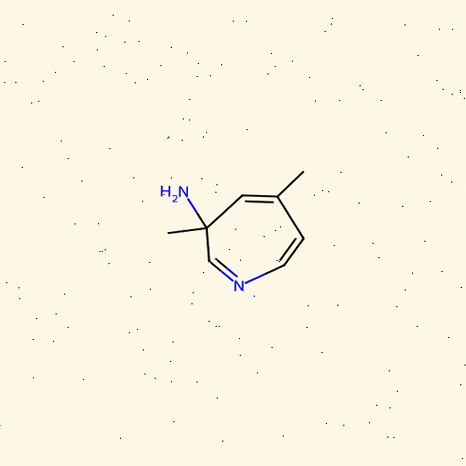 CC1=CC(C)(N)C=NC=C1